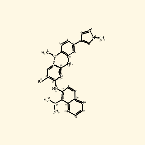 COc1ncc(-c2cnn(C)c2)cc1Nc1ncc(Br)c(Nc2ccc3nccnc3c2P(C)C)n1